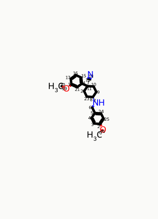 COc1ccc(CN[C@H]2CC[C@](C#N)(c3cccc(OC)c3)CC2)cc1